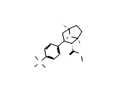 COC(=O)[C@H]1C(c2cc[c]([Sn]([CH3])([CH3])[CH3])cc2)C[C@@H]2CC[C@H]1N2C